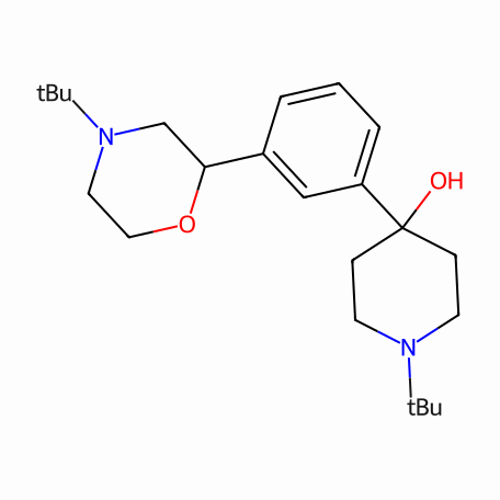 CC(C)(C)N1CCC(O)(c2cccc(C3CN(C(C)(C)C)CCO3)c2)CC1